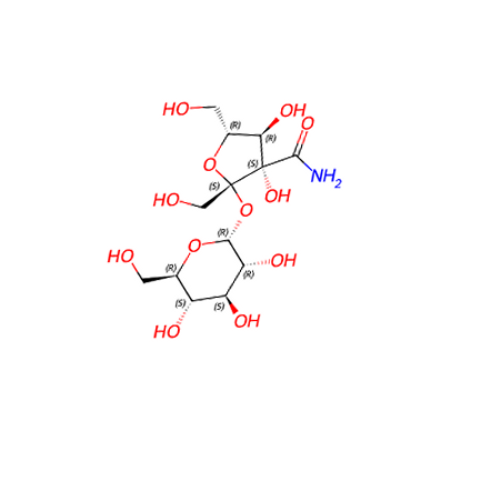 NC(=O)[C@]1(O)[C@H](O)[C@@H](CO)O[C@@]1(CO)O[C@H]1O[C@H](CO)[C@@H](O)[C@H](O)[C@H]1O